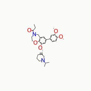 CCC(=O)N1CCOc2c(cc(-c3ccc(OC)c(OC)c3)cc2OC[C@H]2CCCN(C(C)C)C2)C1